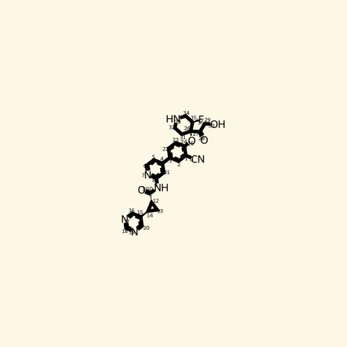 N#Cc1cc(-c2ccnc(NC(=O)[C@@H]3C[C@H]3c3cncnc3)c2)ccc1O[C@]1(C(=O)CO)CCNC[C@H]1F